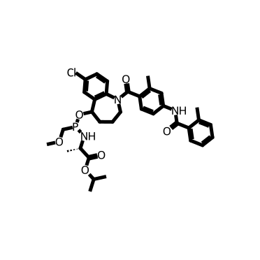 COCP(N[C@@H](C)C(=O)OC(C)C)OC1CCCN(C(=O)c2ccc(NC(=O)c3ccccc3C)cc2C)c2ccc(Cl)cc21